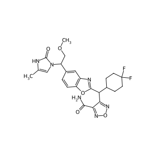 COCC(c1ccc2oc(C(c3nonc3C(N)=O)C3CCC(F)(F)CC3)nc2c1)n1cc(C)[nH]c1=O